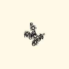 Cn1cc(-c2cc(OCc3ccc(F)cc3)c(C(=O)Nc3cccnc3)cc2C(=O)N2CCOCC2)cn1